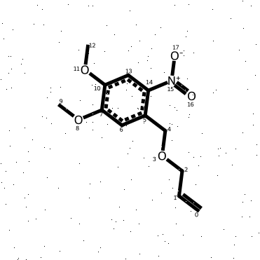 C=CCOCc1cc(OC)c(OC)cc1[N+](=O)[O-]